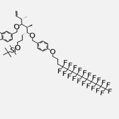 C=C[C@H](C)[C@H](OCc1ccc(OC)c(OC)c1)[C@@H](C)[C@@H](CCCO[Si](C)(C)C(C)(C)C)OCc1ccc(OCCCC(F)(F)C(F)(F)C(F)(F)C(F)(F)C(F)(F)C(F)(F)C(F)(F)C(F)(F)C(F)(F)C(F)(F)F)cc1